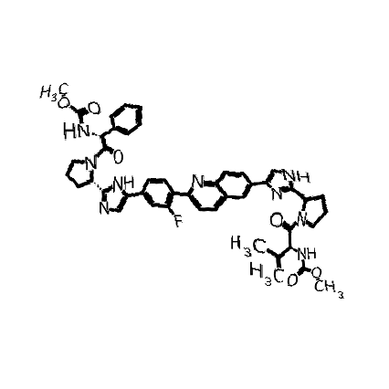 COC(=O)N[C@H](C(=O)N1CCCC1c1nc(-c2ccc3nc(-c4ccc(-c5cnc([C@@H]6CCCN6C(=O)[C@H](NC(=O)OC)c6ccccc6)[nH]5)cc4F)ccc3c2)c[nH]1)C(C)C